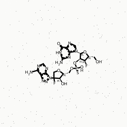 Nc1nc2c(ncn2[C@@H]2O[C@H](CO)[C@@H](F)[C@H]2OP(O)(=S)OC[C@H]2OCC(F)(n3nnc4c(N)ncnc43)[C@@H]2O)c(=O)[nH]1